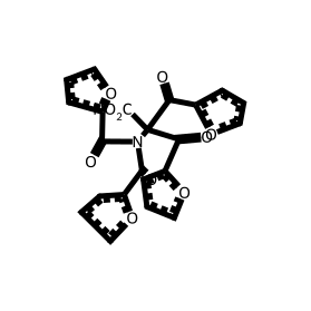 O=C(c1ccco1)N(C(=O)c1ccco1)C(C(=O)O)(C(=O)c1ccco1)C(=O)c1ccco1